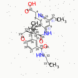 C=C(CCCC(=O)O)/C(=C\C(C#N)=C/C)NC(=O)[C@@H]1[C@H](C)[C@]12CCOc1ccc(C(=O)NCCC)cc12